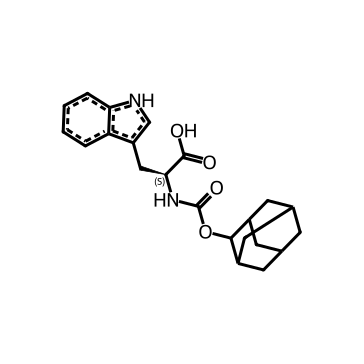 O=C(N[C@@H](Cc1c[nH]c2ccccc12)C(=O)O)OC1C2CC3CC(C2)CC1C3